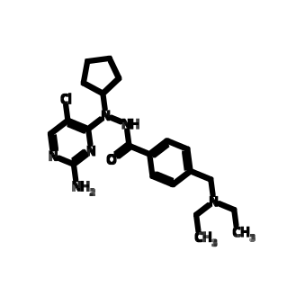 CCN(CC)Cc1ccc(C(=O)NN(c2nc(N)ncc2Cl)C2CCCC2)cc1